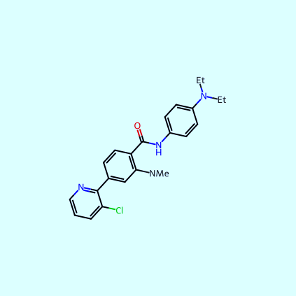 CCN(CC)c1ccc(NC(=O)c2ccc(-c3ncccc3Cl)cc2NC)cc1